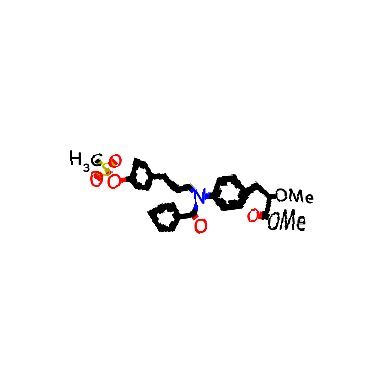 COC(=O)C(Cc1ccc(N(C/C=C/c2ccc(OS(C)(=O)=O)cc2)C(=O)c2ccccc2)cc1)OC